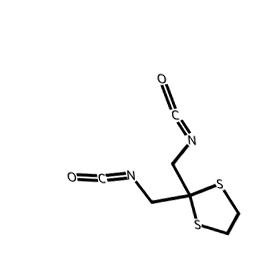 O=C=NCC1(CN=C=O)SCCS1